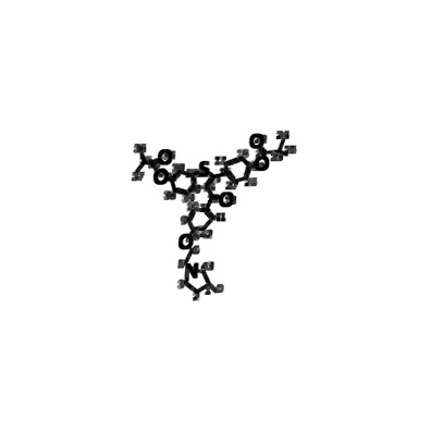 CC1CCN(CCOc2ccc(C(=O)c3c(-c4ccc(OC(=O)C(C)C)cc4)sc4cc(OC(=O)C(C)C)ccc34)cc2)C1